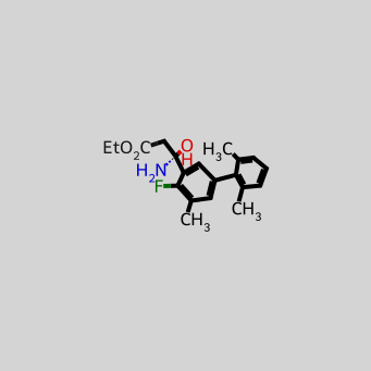 CCOC(=O)C[C@@](N)(O)c1cc(-c2c(C)cccc2C)cc(C)c1F